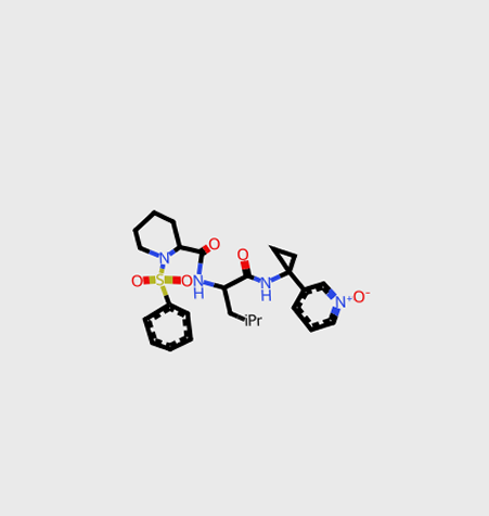 CC(C)CC(NC(=O)C1CCCCN1S(=O)(=O)c1ccccc1)C(=O)NC1(c2ccc[n+]([O-])c2)CC1